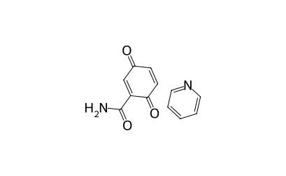 NC(=O)C1=CC(=O)C=CC1=O.c1ccncc1